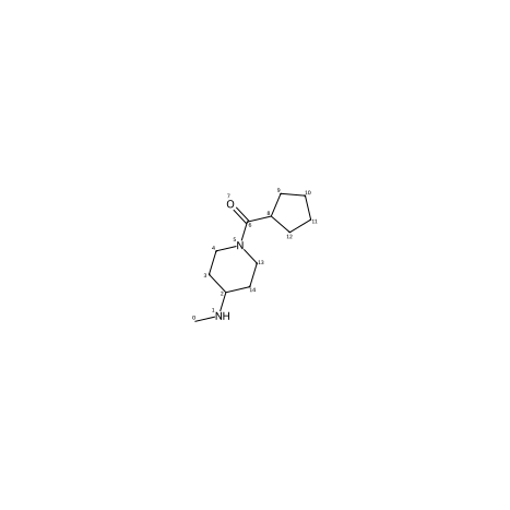 CNC1CCN(C(=O)C2CCCC2)CC1